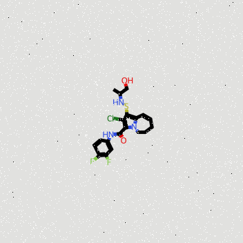 CC(CO)NSc1c(Cl)c(C(=O)Nc2ccc(F)c(F)c2)n2c1C=CCCC2